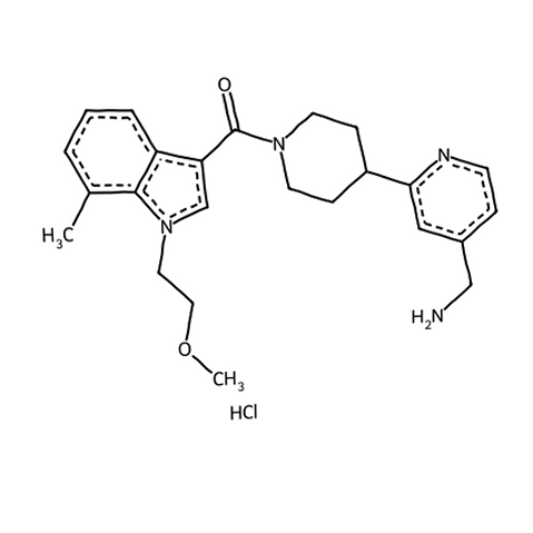 COCCn1cc(C(=O)N2CCC(c3cc(CN)ccn3)CC2)c2cccc(C)c21.Cl